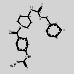 CC(C)(C)OC(=O)Nc1ccc(C(=O)N2CCC(NC(=O)OCc3ccccc3)CC2)cc1